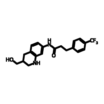 O=C(CCc1ccc(C(F)(F)F)cc1)Nc1ccc2c(c1)NCC(CO)C2